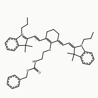 CCCN1/C(=C/C=C2\CCCC(/C=C/C3=[N+](CCC)c4ccccc4C3(C)C)=C2OCCNC(=O)OCc2ccccc2)C(C)(C)c2ccccc21